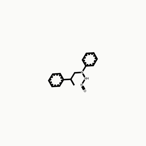 CC(CN(NN=O)c1ccccc1)c1ccccc1